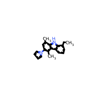 CCc1cccc2c1[nH]c1c(C)cc(-n3cccc3)c(C)c12